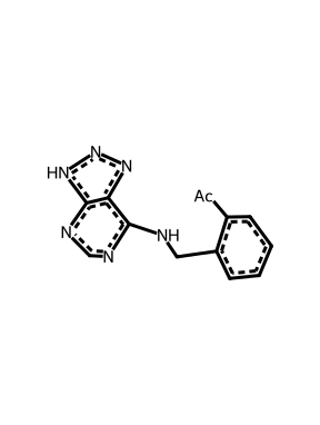 CC(=O)c1ccccc1CNc1ncnc2[nH]nnc12